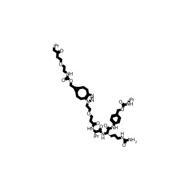 CC(C)CC(=O)CCOCCNC(=O)OCC1C2CCc3nnn(CCOCCC(=O)N[C@H](C(=O)N[C@@H](CCCNC(N)=O)C(=O)Nc4ccc(COC(=O)NC(C)C)cc4)C(C)C)c3CCC21